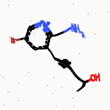 CC(O)C#Cc1cc(Br)cnc1N